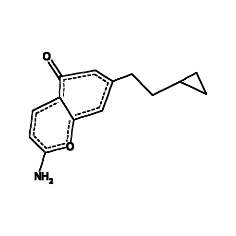 Nc1ccc2c(=O)cc(CCC3CC3)cc-2o1